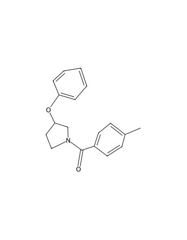 Cc1ccc(C(=O)N2CCC(Oc3ccccc3)C2)cc1